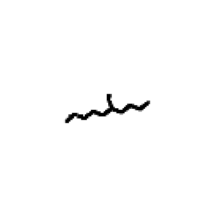 [CH2]CCCC(F)CCCCC